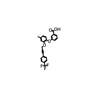 Cc1ccc(Oc2cccc(C(=O)O)c2)c(OCC#Cc2ccc(C(F)(F)F)cc2)c1